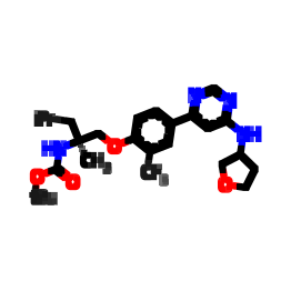 CC(C)C[C@@](C)(COc1ccc(-c2cc(NC3CCOC3)ncn2)cc1C(F)(F)F)NC(=O)OC(C)(C)C